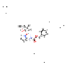 CCC(CC)(C(=O)O)C(=O)ON1CCC[C@H]1CNC(=O)OCc1ccccc1